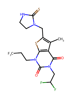 Cc1c(CN2CCNC2=S)sc2c1c(=O)n(CC(F)F)c(=O)n2CCC(F)(F)F